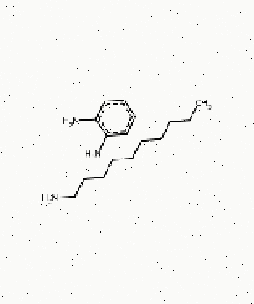 CCCCCCCCCCN.Nc1ccccc1N